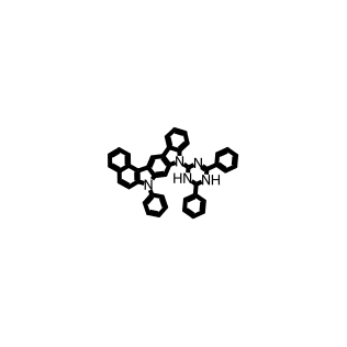 c1ccc(C2=NC(n3c4ccccc4c4cc5c6c7ccccc7ccc6n(-c6ccccc6)c5cc43)NC(c3ccccc3)N2)cc1